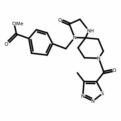 COC(=O)c1ccc(CN2C(=O)CNC23CCN(C(=O)c2snnc2C)CC3)cc1